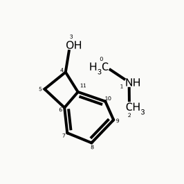 CNC.OC1Cc2ccccc21